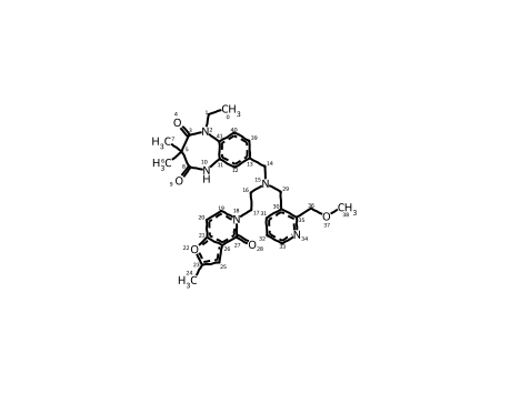 CCN1C(=O)C(C)(C)C(=O)Nc2cc(CN(CCn3ccc4oc(C)cc4c3=O)Cc3cccnc3COC)ccc21